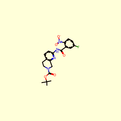 CC(C)(C)OC(=O)N1CCc2ccc(NC(=O)c3cc(F)ccc3[N+](=O)[O-])nc2C1